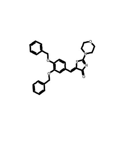 O=C1N=C(N2CCOCC2)S/C1=C\c1ccc(OCc2ccccc2)c(OCc2ccccc2)c1